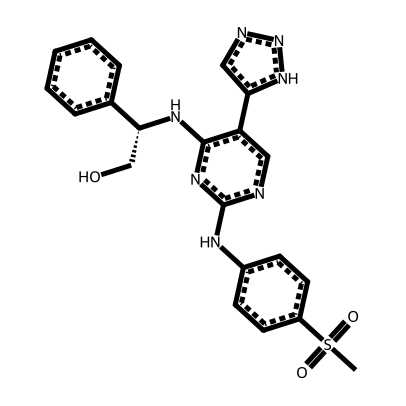 CS(=O)(=O)c1ccc(Nc2ncc(-c3cnn[nH]3)c(N[C@H](CO)c3ccccc3)n2)cc1